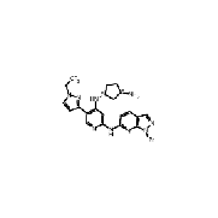 CC(C)n1ncc2ccc(Nc3cc(N[C@@H]4CC[C@@H](N)C4)c(-c4ccn(CC(F)(F)F)n4)cn3)nc21